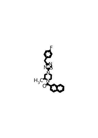 CC1CN(c2nc(Cc3ccc(F)cc3)ns2)CCN1C(=O)c1ccc2ccccc2c1